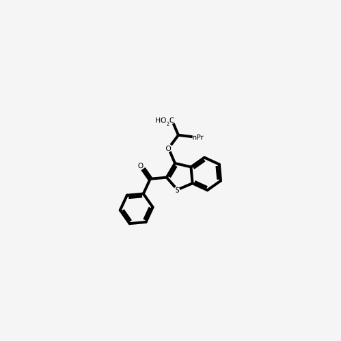 CCCC(Oc1c(C(=O)c2ccccc2)sc2ccccc12)C(=O)O